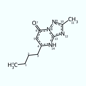 CCCCc1cc(=O)n2nc(C)nc2[nH]1